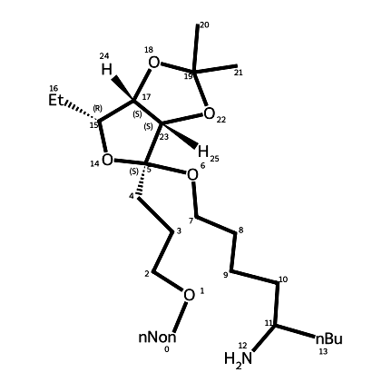 CCCCCCCCCOCCC[C@]1(OCCCCC(N)CCCC)O[C@H](CC)[C@@H]2OC(C)(C)O[C@@H]21